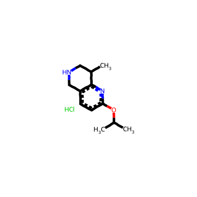 CC(C)Oc1ccc2c(n1)C(C)CNC2.Cl